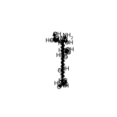 Nc1nc(O)c2c(CCCCC(NC(=O)CCCCCNC(=O)CCCC[C@@H]3SC[C@@H]4NC(=O)N[C@@H]43)OP(=O)(O)O)nn([C@@H]3C[C@H](O)[C@@H](CO)O3)c2n1